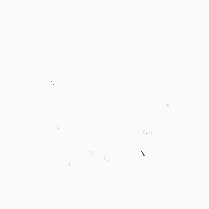 CC(C)C1OC(=O)C2(/C=C/c3ccc4ccc(nc4c3)[C@@H](C)NC(=O)[C@@H]3CCCN(N3)C(=O)[C@H](C)NC1=O)CCOCC2